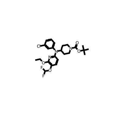 CCOc1nc(N(c2cccc(Cl)c2)C2CCN(C(=O)OC(C)(C)C)CC2)ccc1OC(F)F